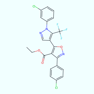 CCOC(=O)c1c(-c2ccc(Cl)cc2)noc1-c1cnn(-c2cccc(Cl)c2)c1C(F)(F)F